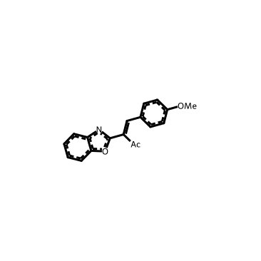 COc1ccc(C=C(C(C)=O)c2nc3ccccc3o2)cc1